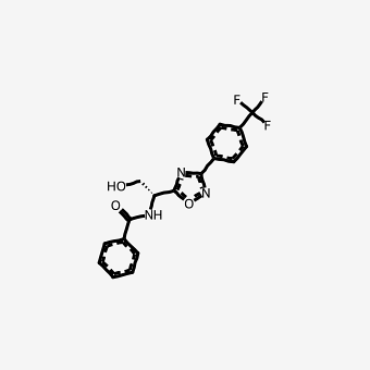 O=C(N[C@H](CO)c1nc(-c2ccc(C(F)(F)F)cc2)no1)c1ccccc1